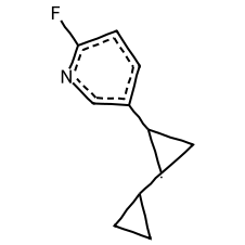 Fc1ccc(C2C[C]2C2CC2)cn1